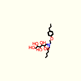 CCCCCCN(CCOc1ccc(CCC)cc1)CC(O)C(O)C(O)C(O)CO